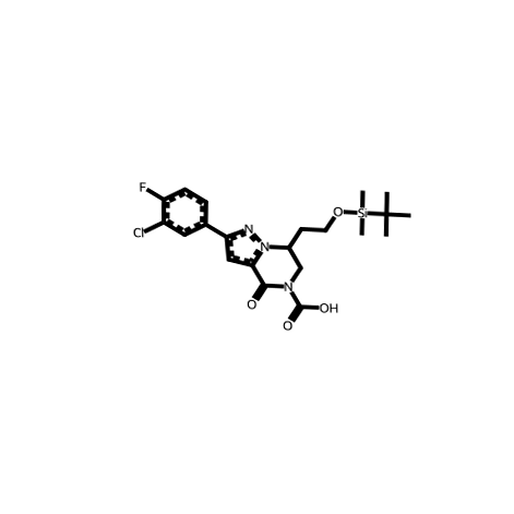 CC(C)(C)[Si](C)(C)OCCC1CN(C(=O)O)C(=O)c2cc(-c3ccc(F)c(Cl)c3)nn21